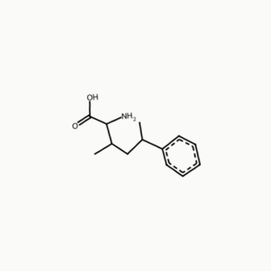 CC(CC(C)C(N)C(=O)O)c1ccccc1